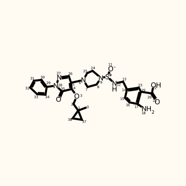 CC1(COc2c(N3CCN([S+]([O-])NCc4ccc(N)c(C(=O)O)c4)CC3)cnn(-c3ccccc3)c2=O)CC1